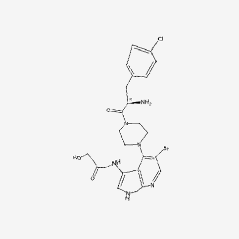 N[C@H](Cc1ccc(Cl)cc1)C(=O)N1CCN(c2c(Br)cnc3[nH]cc(NC(=O)CO)c23)CC1